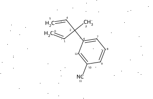 C=CC(C)(C=C)c1cccc(C#N)c1